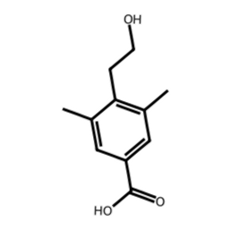 Cc1cc(C(=O)O)cc(C)c1CCO